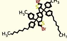 CCCCCCCCc1ccc(C2(c3ccc(C)cc3)c3cc4c(cc3-c3sc(Br)cc32)C(c2ccc(C)cc2)(c2ccc(CCCCCCCC)cc2)c2cc(Br)sc2-4)cc1